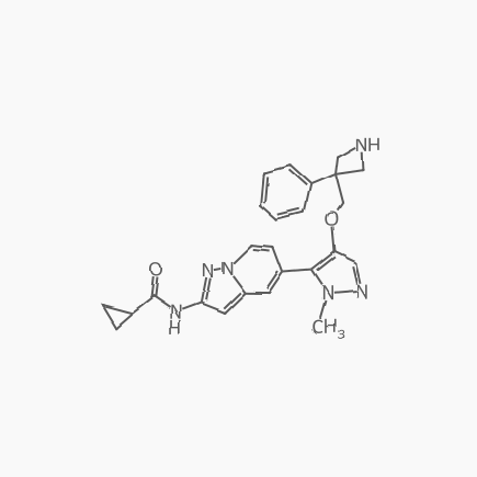 Cn1ncc(OCC2(c3ccccc3)CNC2)c1-c1ccn2nc(NC(=O)C3CC3)cc2c1